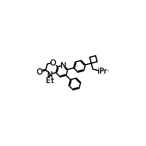 CCN1C(=O)COc2nc(-c3ccc(C4(C[C](C)C)CCC4)cc3)c(-c3ccccc3)cc21